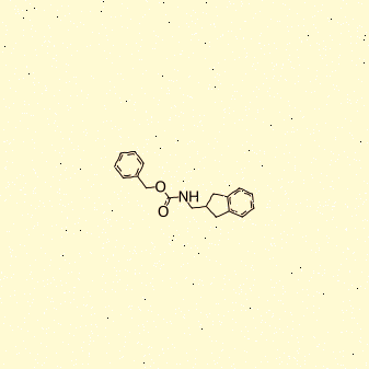 O=C(NCC1Cc2ccccc2C1)OCc1ccccc1